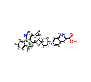 O=C(O)c1cc2ccc(N3CCC4(CC3)CC(Cc3c(-c5ccccc5C(F)(F)F)noc3C3CC3)C4)cc2cn1